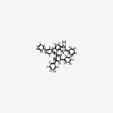 c1ccc(-c2ccc3c(c2)c2ccc4c(c2n3-c2nc(-c3ccccc3)cc(-c3ccccc3)n2)SC(c2ccccc2)N4)cc1